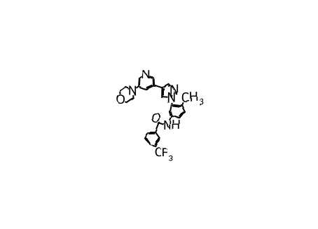 Cc1ccc(NC(=O)c2cccc(C(F)(F)F)c2)cc1-n1cc(-c2cncc(N3CCOCC3)c2)cn1